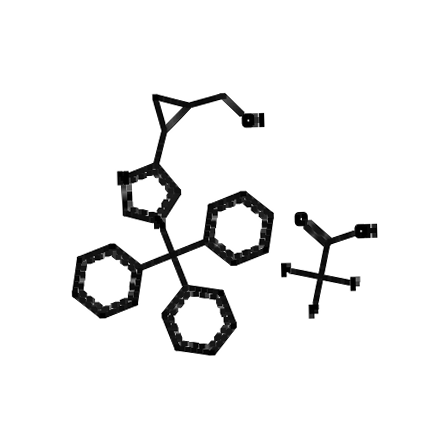 O=C(O)C(F)(F)F.OCC1CC1c1cn(C(c2ccccc2)(c2ccccc2)c2ccccc2)cn1